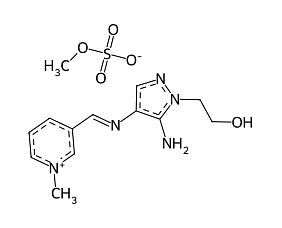 COS(=O)(=O)[O-].C[n+]1cccc(C=Nc2cnn(CCO)c2N)c1